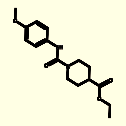 CCOC(=O)C1CCN(C(=O)Nc2ccc(OC)cc2)CC1